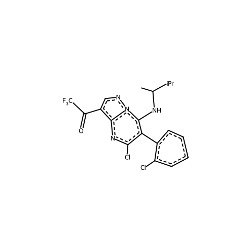 CC(C)C(C)Nc1c(-c2ccccc2Cl)c(Cl)nc2c(C(=O)C(F)(F)F)cnn12